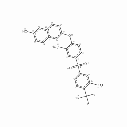 CCCC(C)(C)c1ccc(S(=O)(=O)c2ccc(Oc3ccc4cc(O)ccc4c3)c(S(=O)(=O)O)c2)cc1S(=O)(=O)O